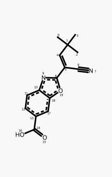 CC(C)(C)/C=C(\C#N)c1nc2ccc(C(=O)O)cc2o1